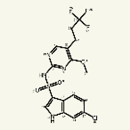 COc1nc(NS(=O)(=O)c2c[nH]c3cc(Cl)ccc23)ncc1CCC(F)(F)F